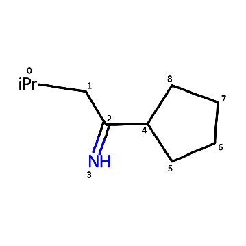 [CH2]C(C)CC(=N)C1CCCC1